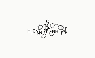 Cn1nnc2cc(CNC(=O)[C@@H]3C[C@@H](Cc4ccc(C(F)(F)F)nc4)CN3C(=O)[C@@H]3NCCC[C@@H]3C(=O)N3CCCC3)ccc21